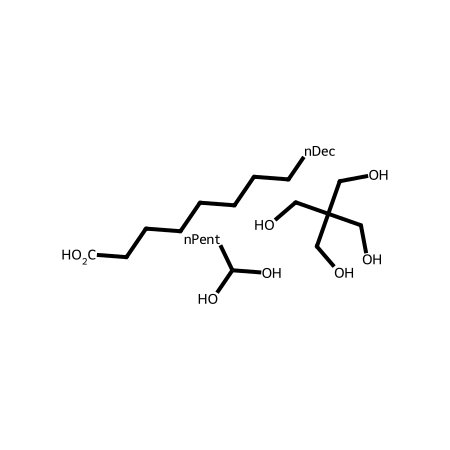 CCCCCC(O)O.CCCCCCCCCCCCCCCCCC(=O)O.OCC(CO)(CO)CO